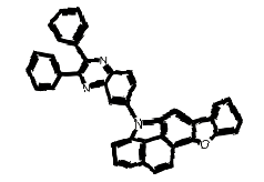 c1ccc(-c2nc3ccc(-n4c5cccc6ccc7c8oc9ccccc9c8cc4c7c65)cc3nc2-c2ccccc2)cc1